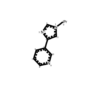 CC(C)n1cnc(-c2cccnc2)c1